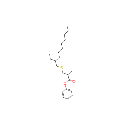 CCCCCCCCC(CC)CSCC(C)C(=O)Oc1ccccc1